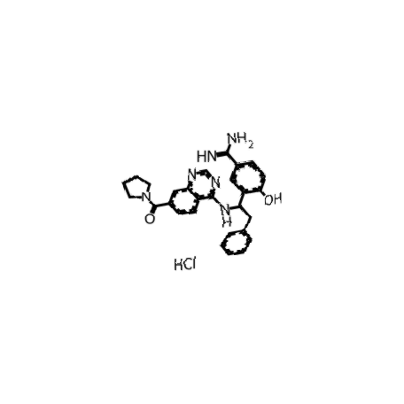 Cl.N=C(N)c1ccc(O)c(C(Cc2ccccc2)Nc2ncnc3cc(C(=O)N4CCCC4)ccc23)c1